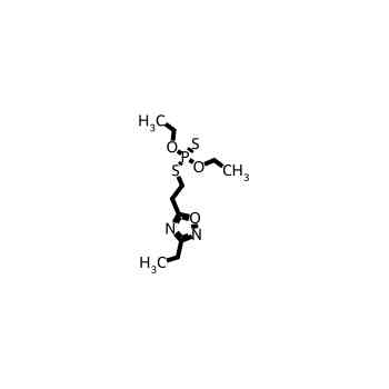 CCOP(=S)(OCC)SCCc1nc(CC)no1